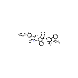 CC1(C)c2ccccc2-c2cc(N3c4c(cc(/C=C5\C(=O)c6ccc(C(=O)O)cc6C5=O)c5ccccc45)C4CCCC43)ccc21